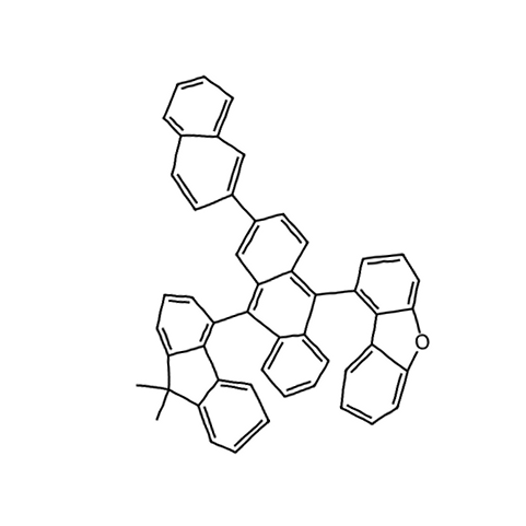 CC1(C)c2ccccc2-c2c(-c3c4ccccc4c(-c4cccc5oc6ccccc6c45)c4ccc(-c5ccc6ccccc6c5)cc34)cccc21